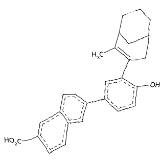 CC1=C(c2cc(-c3ccc4cc(C(=O)O)ccc4c3)ccc2O)CC2CCCC1C2